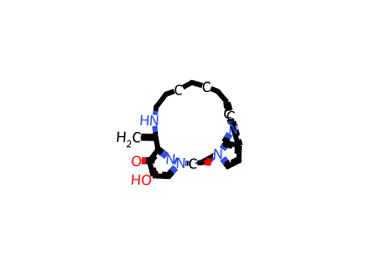 C=C1NCCCCCCc2cnc3c(ccn3C3(CCCC3)Cn3cc(O)c(=O)c1n3)c2